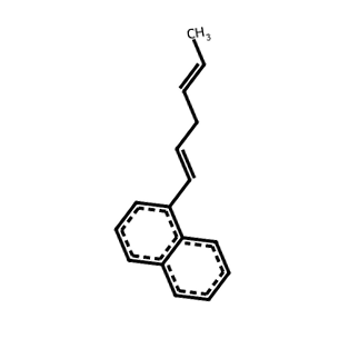 CC=CC/C=C/c1cccc2ccccc12